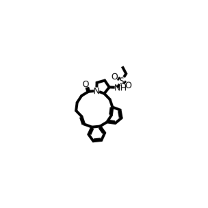 CCS(=O)(=O)NC1CCN2C(=O)CCC/C=C/c3ccccc3-c3cccc(c3)CC12